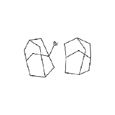 BrC12CC3CC(CC(C3)C1)C2.C1C2CC3CC1CC(C2)C3